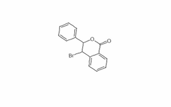 O=C1OC(c2ccccc2)C(Br)c2ccccc21